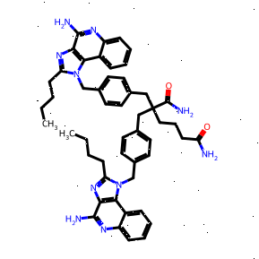 CCCCc1nc2c(N)nc3ccccc3c2n1Cc1ccc(CC(CCCC(N)=O)(Cc2ccc(Cn3c(CCCC)nc4c(N)nc5ccccc5c43)cc2)C(N)=O)cc1